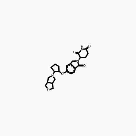 O=C1CCC(N2Cc3cc(OC4CCCC4N4CC5COCC5C4)ccc3C2=O)C(=O)N1